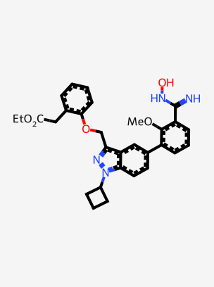 CCOC(=O)Cc1ccccc1OCc1nn(C2CCC2)c2ccc(-c3cccc(C(=N)NO)c3OC)cc12